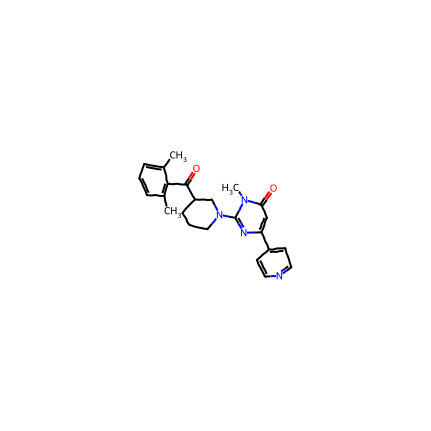 Cc1cccc(C)c1C(=O)C1CCCN(c2nc(-c3ccncc3)cc(=O)n2C)C1